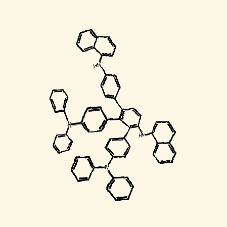 c1ccc(N(c2ccccc2)c2ccc(-c3c(Nc4cccc5ccccc45)ccc(-c4ccc(Nc5cccc6ccccc56)cc4)c3-c3ccc(N(c4ccccc4)c4ccccc4)cc3)cc2)cc1